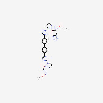 COO/C=N\[C@H](C(=O)N1CCC[C@H]1c1ncc(-c2ccc(-c3ccc(-c4cnc([C@@H]5CCCN5C(=O)[C@@H](Cc5c[nH]nn5)NC(=O)OC)[nH]4)cc3)cc2)[nH]1)C(C)C